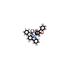 CC1(C)c2ccccc2-c2ccc3c4ccccc4n(-c4ccc5c(c4)oc4ccccc45)c3c21